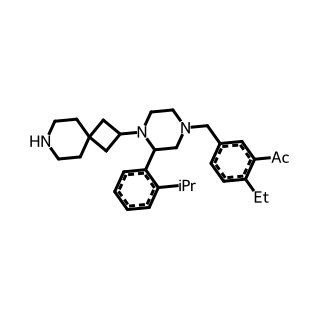 CCc1ccc(CN2CCN(C3CC4(CCNCC4)C3)C(c3ccccc3C(C)C)C2)cc1C(C)=O